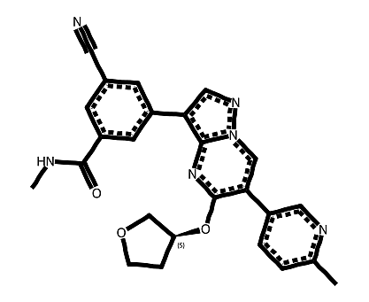 CNC(=O)c1cc(C#N)cc(-c2cnn3cc(-c4ccc(C)nc4)c(O[C@H]4CCOC4)nc23)c1